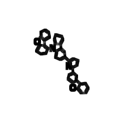 c1cc(-c2ccc3oc4ccccc4c3c2)nc(-c2ccc3c(c2)c2ccccc2n3-c2cccc3oc4ccccc4c23)c1